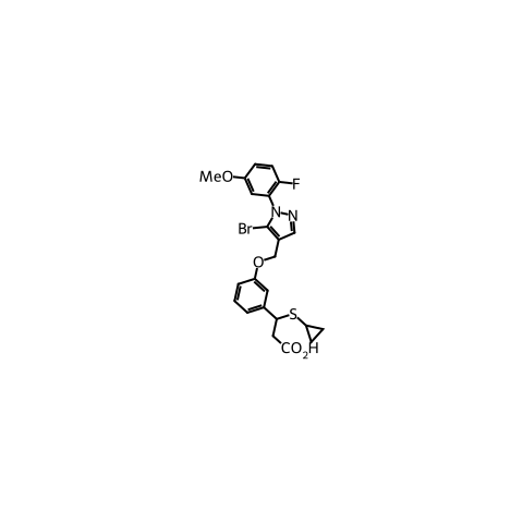 COc1ccc(F)c(-n2ncc(COc3cccc(C(CC(=O)O)SC4CC4)c3)c2Br)c1